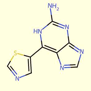 Nc1nc2ncnc-2c(-c2cncs2)[nH]1